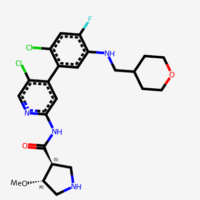 CO[C@H]1CNC[C@@H]1C(=O)Nc1cc(-c2cc(NCC3CCOCC3)c(F)cc2Cl)c(Cl)cn1